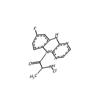 CC(NCl)C(=O)Nc1ccc(F)cc1Nc1cnccn1